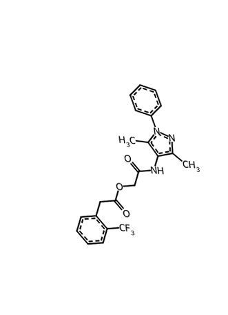 Cc1nn(-c2ccccc2)c(C)c1NC(=O)COC(=O)Cc1ccccc1C(F)(F)F